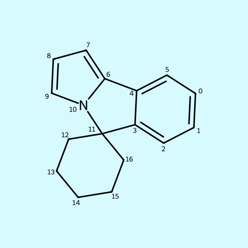 c1ccc2c(c1)-c1cccn1C21CCCCC1